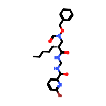 CCCCC[C@H](CN(C=O)OCc1ccccc1)C(=O)NCNC(=O)c1cccc(Br)n1